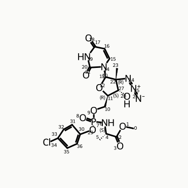 COC(=O)[C@H](C)NP(=O)(OC[C@H]1O[C@@H](n2ccc(=O)[nH]c2=O)[C@](C)(N=[N+]=[N-])[C@@H]1O)Oc1ccc(Cl)cc1